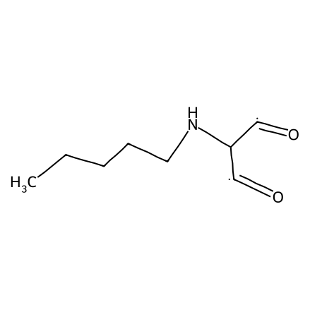 CCCCCNC([C]=O)[C]=O